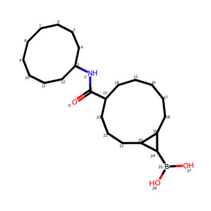 O=C(NC1CCCCCCCCC1)C1CCCCCC2C(CCC1)C2B(O)O